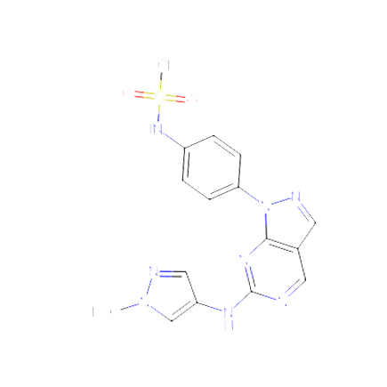 Cn1cc(Nc2ncc3cnn(-c4ccc(NS(C)(=O)=O)cc4)c3n2)cn1